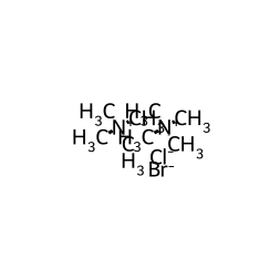 C[N+](C)(C)C.C[N+](C)(C)C.[Br-].[Cl-]